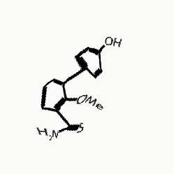 COc1c(C(N)=S)cccc1-c1ccc(O)cc1